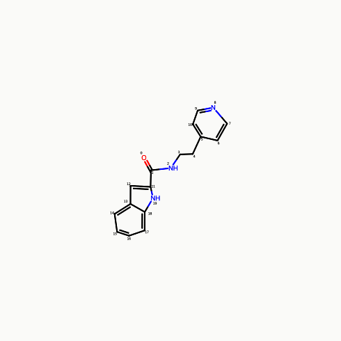 O=C(NCCc1ccncc1)c1cc2ccccc2[nH]1